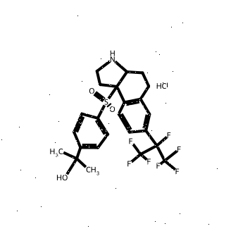 CC(C)(O)c1ccc(S(=O)(=O)C23CCNC2CCc2cc(C(F)(C(F)(F)F)C(F)(F)F)ccc23)cc1.Cl